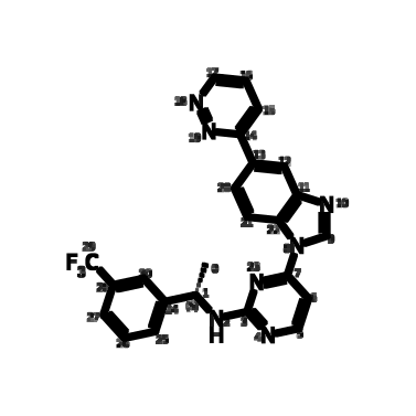 C[C@H](Nc1nccc(-n2cnc3cc(-c4cccnn4)ccc32)n1)c1cccc(C(F)(F)F)c1